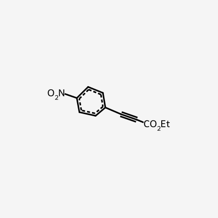 CCOC(=O)C#Cc1ccc([N+](=O)[O-])cc1